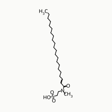 CCCCCCCCCCCCCCCCCCC/C=C/C(=O)N(C)CCS(=O)(=O)O